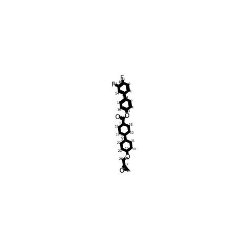 O=C(Oc1ccc(-c2ccc(F)c(F)c2)cc1)C1CCC(C2CCC(OCC3CO3)CC2)CC1